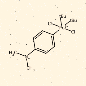 CN(C)c1cc[c]([Pd-3]([Cl])([Cl])([C](C)(C)C)[C](C)(C)C)cc1